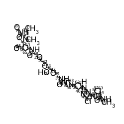 CCCC(C(=O)NC=O)N(C)Cc1cc(NC(=O)CCOCCOCC(O)COCCNC(=O)N2CCN(c3ccc(Nc4ncc(Cl)c(Nc5ccccc5C(=O)NC)n4)cc3)CC2)ccc1C=O